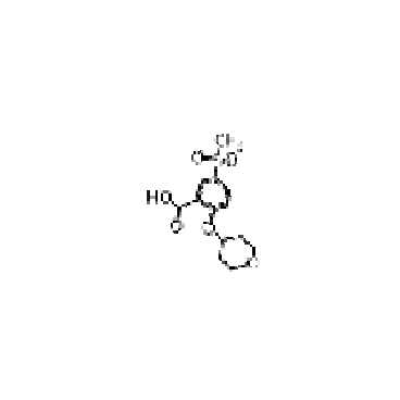 CS(=O)(=O)c1ccc(OC2CCOCC2)c(C(=O)O)c1